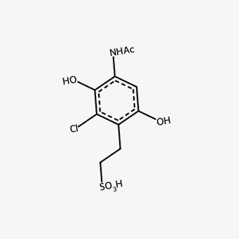 CC(=O)Nc1cc(O)c(CCS(=O)(=O)O)c(Cl)c1O